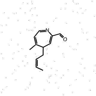 C/C=C\CC1C=C(C=O)N=CC=C1C